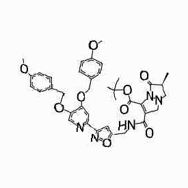 COc1ccc(COc2cnc(-c3cc(CNC(=O)C4=C(C(=O)OC(C)(C)C)N5C(=O)[C@@H](C)CN5C4)on3)cc2OCc2ccc(OC)cc2)cc1